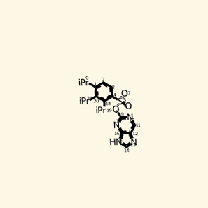 CC(C)c1ccc(S(=O)(=O)Oc2ncc3nc[nH]c3n2)c(C(C)C)c1C(C)C